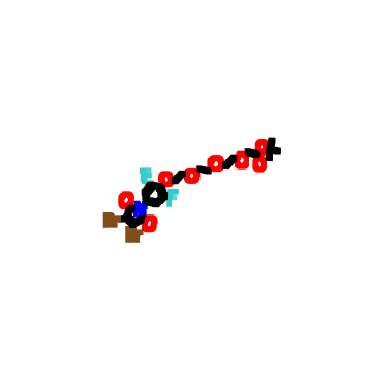 CC(C)(C)OC(=O)COCCOCCOCCOc1c(F)cc(N2C(=O)C(Br)=C(Br)C2=O)cc1F